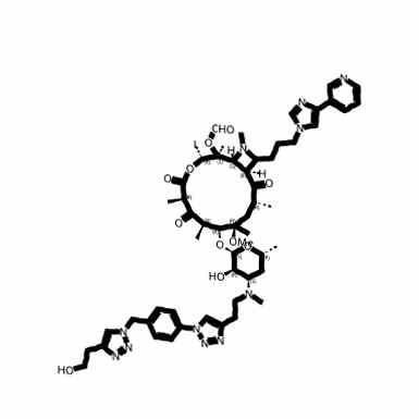 CO[C@]1(C)C[C@@H](C)C(=O)[C@@H]2C(CCCn3cnc(-c4cccnc4)c3)N(C)[C@@H]2[C@](C)(OC=O)[C@@H](I)OC(=O)[C@H](C)C(=O)[C@H](C)[C@H]1O[C@@H]1O[C@H](C)C[C@H](N(C)CCc2cn(-c3ccc(Cn4cc(CCO)nn4)cc3)nn2)[C@H]1O